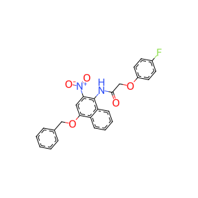 O=C(COc1ccc(F)cc1)Nc1c([N+](=O)[O-])cc(OCc2ccccc2)c2ccccc12